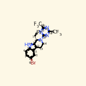 CC(C)C[C@H]1c2[nH]c3ccc(Br)cc3c2CCN1c1nc(C(F)(F)F)nc(C(F)(F)F)n1